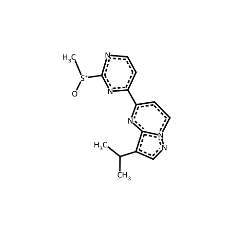 CC(C)c1cnn2ccc(-c3ccnc([S+](C)[O-])n3)nc12